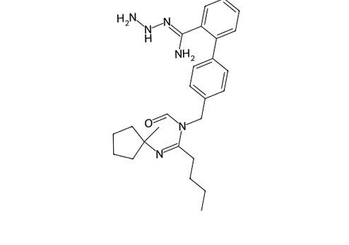 CCCC/C(=N/C1(C)CCCC1)N(C=O)Cc1ccc(-c2ccccc2/C(N)=N/NN)cc1